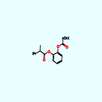 CCCCCCCCC(=O)Oc1ccccc1OC(=O)C(C)C(C)C